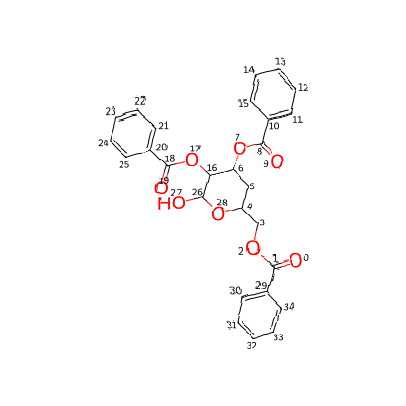 O=C(OCC1CC(OC(=O)c2ccccc2)C(OC(=O)c2ccccc2)C(O)O1)c1ccccc1